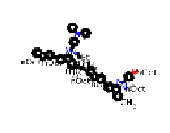 CCCCCCCCOc1ccc(-c2nc3c4cc(-c5ccc6c(c5)C(CCCCCCCC)(CCCCCCCC)c5cc(C(C)(C)C(C)(C)c7ccc8c9ccc(-c%10ccc%11c(c%10)C(CCCCCCCC)(CCCCCCCC)c%10ccccc%10-%11)cc9c9nc(-c%10ccc(N(c%11ccccc%11)c%11ccccc%11)cc%10)n(CC(CC)CCCC)c9c8c7)ccc5-6)ccc4c4ccc(C)cc4c3n2CCCCCCCC)cc1